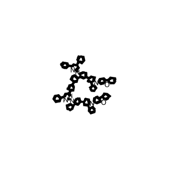 c1ccc(-c2cc(-c3ccccc3)nc(-n3c4ccc(-c5ccc(-c6cc(-c7ccccc7)nc(-n7c8ccccc8c8cc(-c9ccc%10c(c9)c9ccccc9n%10-c9ccc%10c(c9)oc9ccccc9%10)ccc87)n6)cc5)cc4c4cc(-c5ccc6c(c5)c5ccccc5n6-c5ccc6c(c5)oc5ccccc56)ccc43)c2)cc1